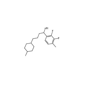 CCCC(CCCC1CCC(C)CC1)c1ccc(C)c(F)c1F